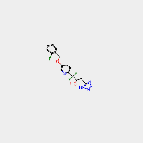 OC(Cc1nnn[nH]1)C(F)(F)c1ccc(OCc2ccccc2F)cn1